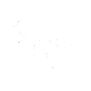 Cc1[nH]c2c(-c3cc(F)ccc3OCC3CC3)ncnc2c1C(=O)N[C@H]1CC[C@H](NC(=O)[C@H](C)O)[C@H](C)C1